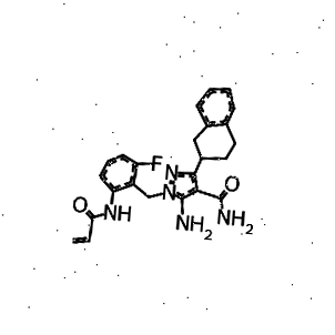 C=CC(=O)Nc1cccc(F)c1Cn1nc(C2CCc3ccccc3C2)c(C(N)=O)c1N